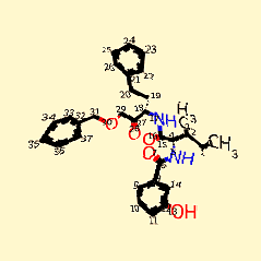 CCC(C)[C@H](NC(=O)c1cccc(O)c1)C(=O)N[C@@H](CCc1ccccc1)C(=O)COCc1ccccc1